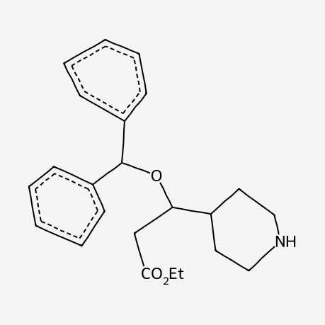 CCOC(=O)CC(OC(c1ccccc1)c1ccccc1)C1CCNCC1